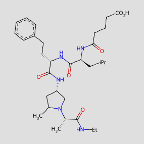 CCNC(=O)[C@H](C)N1C[C@@H](NC(=O)[C@H](CCc2ccccc2)NC(=O)[C@H](CC(C)C)NC(=O)CCCC(=O)O)CC1C